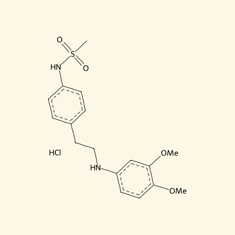 COc1ccc(NCCc2ccc(NS(C)(=O)=O)cc2)cc1OC.Cl